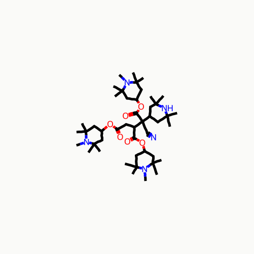 CN1C(C)(C)CC(OC(=O)CC(C(=O)OC2CC(C)(C)N(C)C(C)(C)C2)C(C#N)(C(=O)OC2CC(C)(C)N(C)C(C)(C)C2)C2CC(C)(C)NC(C)(C)C2)CC1(C)C